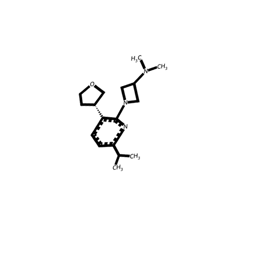 CC(C)c1ccc([C@@H]2CCOC2)c(N2CC(N(C)C)C2)n1